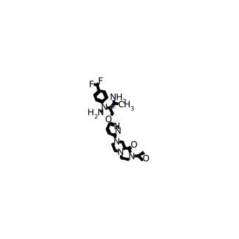 C/C(N)=C(\COc1ccc(N2CCN3CCN(C4COC4)C(=O)C3C2)nn1)N(N)c1ccc(C(F)F)cc1